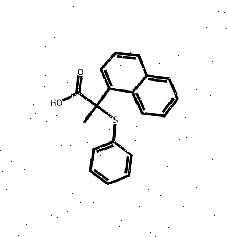 CC(Sc1ccccc1)(C(=O)O)c1cccc2ccccc12